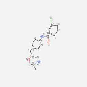 C[C@H]1CO[C@@H](Cc2ccc(NC(=O)c3cccc(Cl)c3)cc2)CN1